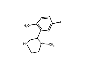 Cc1ccc(F)cc1C1CNCCN1C